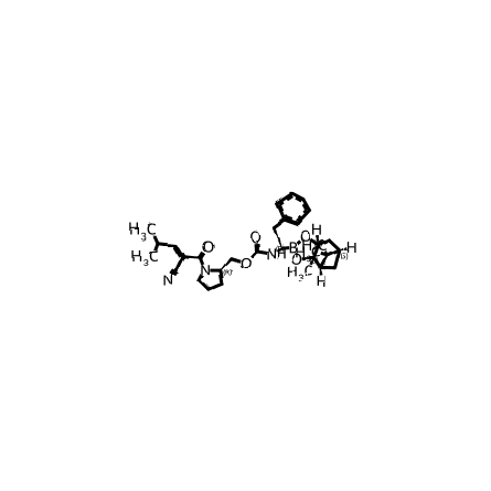 CC(C)C=C(C#N)C(=O)N1CCC[C@@H]1COC(=O)N[C@@H](Cc1ccccc1)B1O[C@@H]2C[C@@H]3C[C@@H](C3(C)C)[C@]2(C)O1